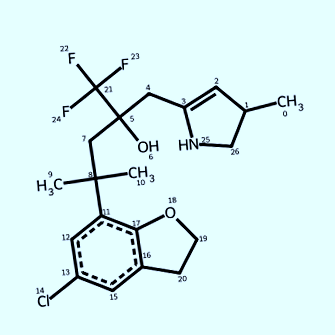 CC1C=C(CC(O)(CC(C)(C)c2cc(Cl)cc3c2OCC3)C(F)(F)F)NC1